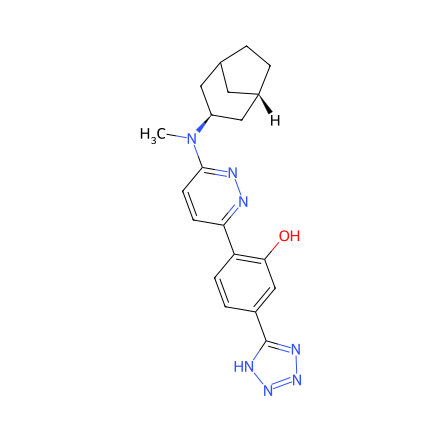 CN(c1ccc(-c2ccc(-c3nnn[nH]3)cc2O)nn1)[C@H]1CC2CC[C@@H](C2)C1